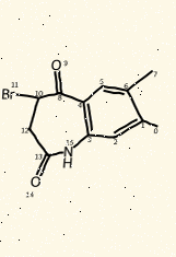 Cc1cc2c(cc1C)C(=O)C(Br)CC(=O)N2